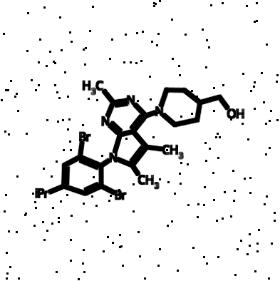 Cc1nc(N2CCC(CO)CC2)c2c(C)c(C)n(-c3c(Br)cc(C(C)C)cc3Br)c2n1